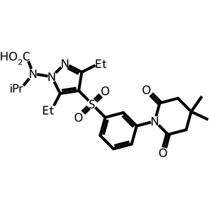 CCc1nn(N(C(=O)O)C(C)C)c(CC)c1S(=O)(=O)c1cccc(N2C(=O)CC(C)(C)CC2=O)c1